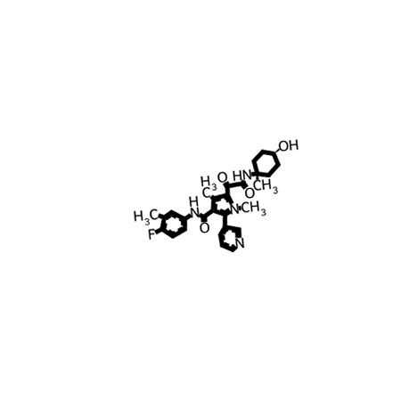 Cc1cc(NC(=O)c2c(C)c(C(=O)C(=O)N[C@]3(C)CC[C@H](O)CC3)n(C)c2-c2cccnc2)ccc1F